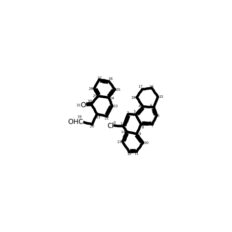 Clc1cc2c3c(ccc2c2ccccc12)CCCC3.O=CCC1C=Cc2ccccc2C1=O